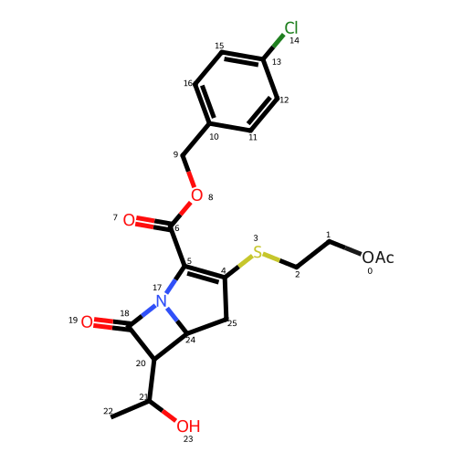 CC(=O)OCCSC1=C(C(=O)OCc2ccc(Cl)cc2)N2C(=O)C(C(C)O)C2C1